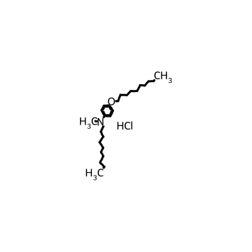 CCCCCCCCCCOc1ccc(N(C)CCCCCCCCCC)cc1.Cl